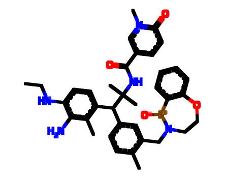 CCNc1ccc(C(c2ccc(C)c(CN3CCOc4ccccc4[S+]3[O-])c2)C(C)(C)NC(=O)c2ccc(=O)n(C)c2)c(C)c1N